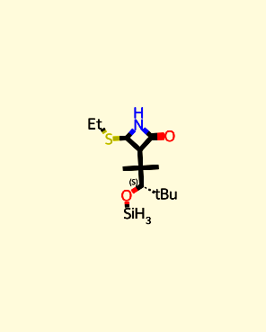 CCSC1NC(=O)C1C(C)(C)[C@@H](O[SiH3])C(C)(C)C